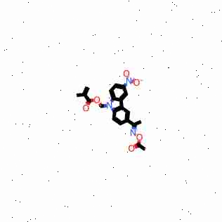 C=C(C)C(=O)OCn1c2ccc(/C(C)=N/OC(C)=O)cc2c2cc([N+](=O)[O-])ccc21